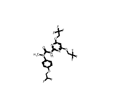 CN(C(=O)Nc1nc(OCC(F)(F)F)cc(OCC(F)(F)F)n1)c1ccc(OCC(F)F)cc1